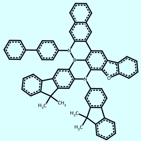 CC1(C)c2ccccc2-c2ccc(N3c4cc5c(cc4B4c6c(cc7c(oc8ccccc87)c63)-c3cc6ccccc6cc3N4c3ccc(-c4ccccc4)cc3)-c3ccccc3C5(C)C)cc21